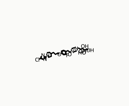 O=C(Cc1ccc(OCCCC2CCN(c3ncc(Cl)cn3)CC2)cc1F)N1CCN(C[C@H](O)[C@H](O)[C@H](O)CO)CC1